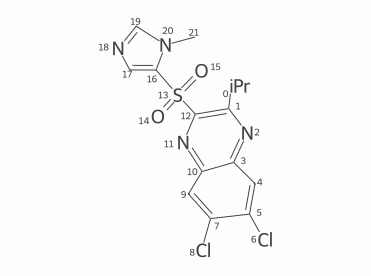 CC(C)c1nc2cc(Cl)c(Cl)cc2nc1S(=O)(=O)c1cncn1C